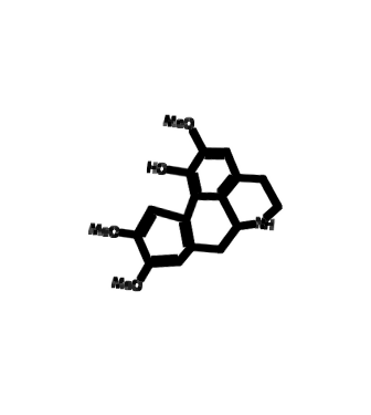 COc1cc2c(cc1OC)-c1c(O)c(OC)cc3c1C(C2)NCC3